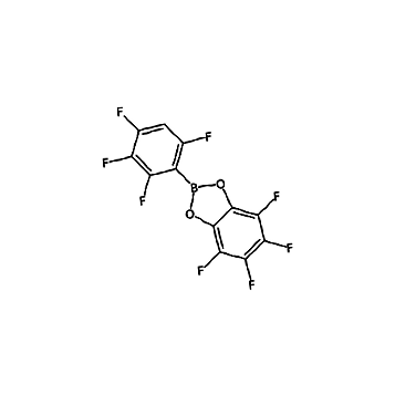 Fc1cc(F)c(B2Oc3c(F)c(F)c(F)c(F)c3O2)c(F)c1F